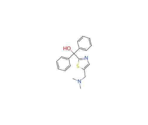 CN(C)Cc1cnc(C(O)(c2ccccc2)c2ccccc2)s1